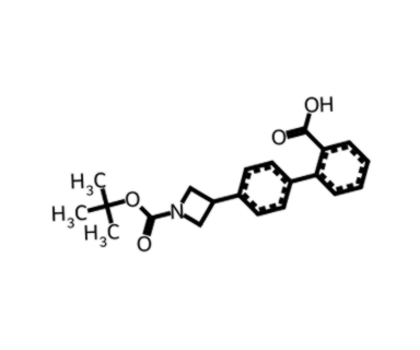 CC(C)(C)OC(=O)N1CC(c2ccc(-c3ccccc3C(=O)O)cc2)C1